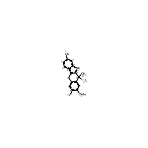 COc1cc2c(cc1Br)Cc1c([nH]c3cc(C#N)ccc13)C2(C)C